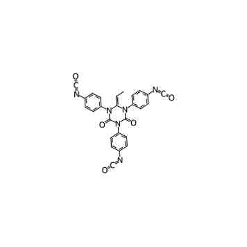 CC=C1N(c2ccc(N=C=O)cc2)C(=O)N(c2ccc(N=C=O)cc2)C(=O)N1c1ccc(N=C=O)cc1